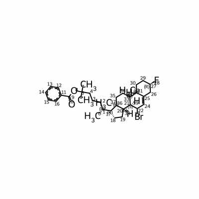 C[C@H](CCCC(C)(C)OC(=O)c1ccccc1)[C@H]1CC[C@H]2[C@@H]3C(Br)C=C4C[C@H](F)CC[C@]4(C)[C@H]3CC[C@]12C